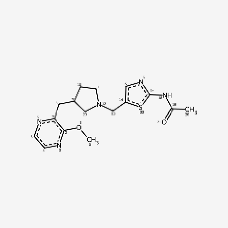 COc1nccnc1CC1CCN(Cc2cnc(NC(C)=O)s2)C1